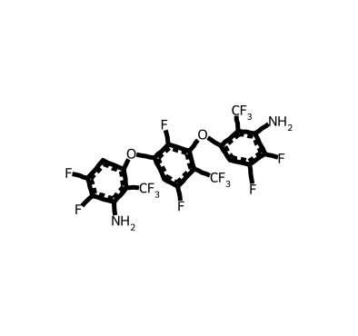 Nc1c(F)c(F)cc(Oc2cc(F)c(C(F)(F)F)c(Oc3cc(F)c(F)c(N)c3C(F)(F)F)c2F)c1C(F)(F)F